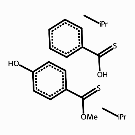 CC(C)C.CC(C)C.COC(=S)c1ccc(O)cc1.OC(=S)c1ccccc1